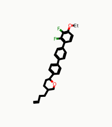 C=CCCC1CCC(c2ccc(-c3ccc(-c4ccc(OCC)c(F)c4F)cc3)cc2)OC1